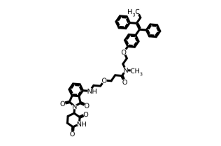 CC/C(=C(\c1ccccc1)c1ccc(OCCN(C)C(=O)CCOCCNc2cccc3c2C(=O)N(C2CCC(=O)NC2=O)C3=O)cc1)c1ccccc1